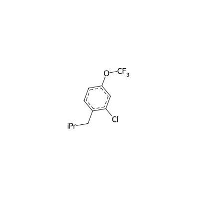 CC(C)Cc1ccc(OC(F)(F)F)cc1Cl